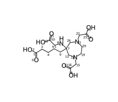 O=C(O)CCCCC1(NCC(=O)O)CN(CC(=O)O)CCN(CC(=O)O)C1